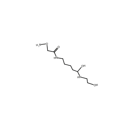 NOCC(=O)NCCCCC(O)NCCO